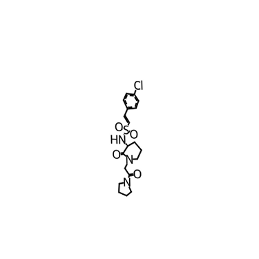 O=C(CN1CCC[C@H](NS(=O)(=O)/C=C/c2ccc(Cl)cc2)C1=O)N1CCCC1